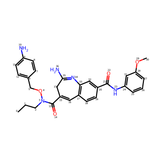 CCCN(OCc1ccc(N)cc1)C(=O)C1=Cc2ccc(C(=O)Nc3cccc(OC)c3)cc2N=C(N)C1